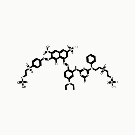 CCN(CC)c1ccc(/N=N/c2cc(S(=O)(=O)O)cc3cc(S(=O)O)c(/N=N/c4ccc(S(=O)(=O)CCOS(=O)(=O)O)cc4)c(O)c23)c(Nc2nc(Cl)nc(N(CCS(=O)(=O)CCOS(=O)(=O)O)c3ccccc3)n2)c1